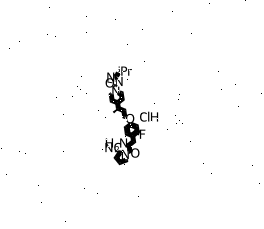 CC(C)c1noc(N2CCC([C@H](C)CCOc3ccc(C[C@H](N)C(=O)N4CCC[C@H]4C#N)c(F)c3)CC2)n1.Cl